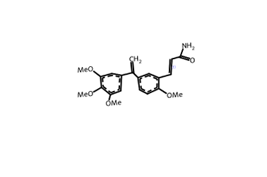 C=C(c1ccc(OC)c(/C=C/C(N)=O)c1)c1cc(OC)c(OC)c(OC)c1